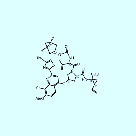 C=C[C@@H]1C[C@]1(NC(=O)[C@@H]1C[C@@H](Oc2cc(-c3nc(C(C)C)cs3)nc3c(Cl)c(OC)ccc23)CN1C(=O)[C@@H](NC(=O)O[C@@H]1C[C@@H]2C[C@@H]2C1)C(=C)C)C(=O)O